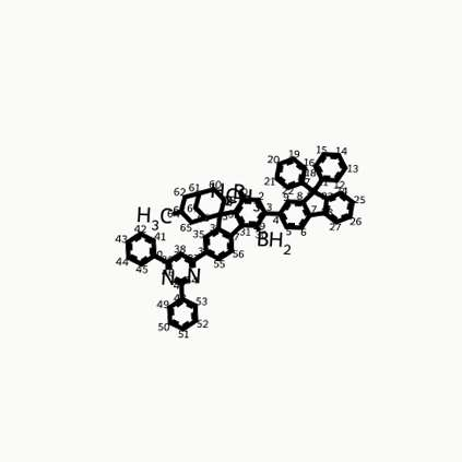 Bc1cc(-c2ccc3c(c2)C(c2ccccc2)(c2ccccc2)c2ccccc2-3)c(B)c2c1C1(c3cc(-c4cc(-c5ccccc5)nc(-c5ccccc5)n4)ccc3-2)C(C)CC2CC(C)CC1C2